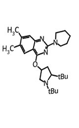 Cc1cc2nc(N3CCCCC3)nc(OC3CC(C(C)(C)C)N(C(C)(C)C)C3)c2cc1C